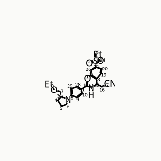 CCOC[C@@H]1CCCN1c1ccc(C(=O)NC(CC#N)c2ccc(S(=O)(=O)CC)cc2)cc1